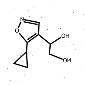 OCC(O)c1cnoc1C1CC1